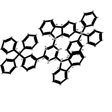 c1ccc(C(c2ccccc2)(c2ccccc2)c2cccc(-c3nc(-n4c5ccccc5c5ccccc54)nc(-n4c5ccccc5c5ccc([Si](c6ccccc6)(c6ccccc6)c6ccccc6)cc54)n3)c2)cc1